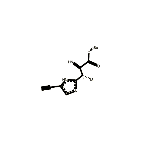 C#Cc1cnc([C@@H](CC)C(=N)C(=O)OC(C)(C)C)[nH]1